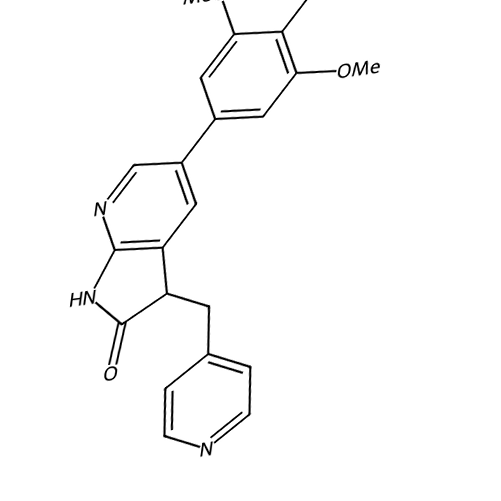 COc1cc(-c2cnc3c(c2)C(Cc2ccncc2)C(=O)N3)cc(OC)c1OC